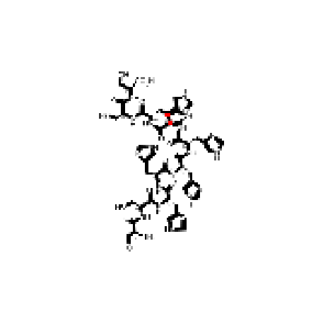 N[C@@H](CO)C(=O)N[C@@H](CO)C(=O)N[C@@H](Cc1c[nH]cn1)C(=O)N[C@@H](Cc1c[nH]cn1)C(=O)N[C@@H](Cc1c[nH]cn1)C(=O)N[C@@H](Cc1c[nH]cn1)C(=O)N[C@@H](Cc1c[nH]cn1)C(=O)N[C@@H](Cc1c[nH]cn1)C(=O)N[C@@H](CO)C(=O)N[C@@H](CO)C(=O)O